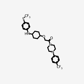 O=C(COC1CCC(Nc2ccc(SC(F)(F)F)cc2)CC1)N1CCN(c2ccc(C(F)(F)F)cc2)CC1